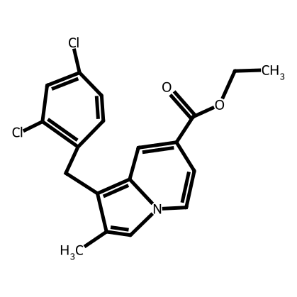 CCOC(=O)c1ccn2cc(C)c(Cc3ccc(Cl)cc3Cl)c2c1